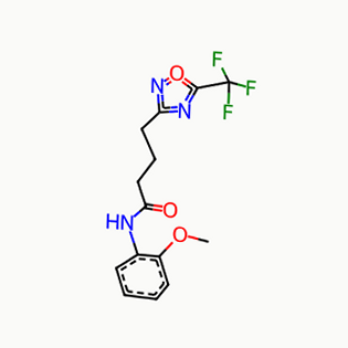 COc1ccccc1NC(=O)CCCc1noc(C(F)(F)F)n1